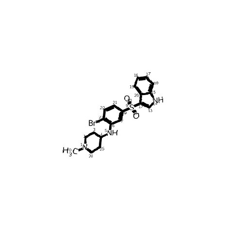 CN1CCC(Nc2cc(S(=O)(=O)c3c[nH]c4ccccc34)ccc2Br)CC1